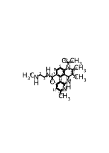 CNCCNC(=O)c1ccc2c(c1)C(Nc1cccc(C)n1)C(C)C(C)N2C(C)=O